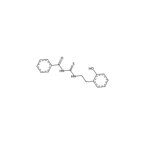 O=C(NC(=S)NCCc1ccccc1O)c1ccccc1